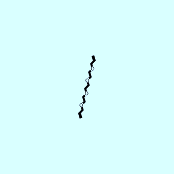 C=CCOCCOCCOCCOCC=C